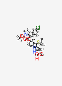 CC(C)(C)OC(=O)N1CCCC1[C@H](Cc1ccc(Cl)cc1)Oc1ccc2[nH]c(CC(C)(C)C(=O)O)c(SC(C)(C)C)c2c1